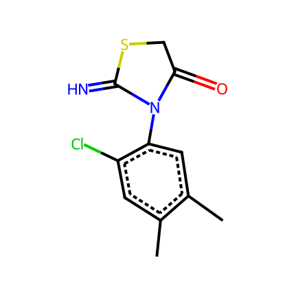 Cc1cc(Cl)c(N2C(=N)SCC2=O)cc1C